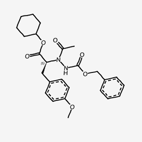 COc1ccc(C[C@@H](C(=O)OC2CCCCC2)N(NC(=O)OCc2ccccc2)C(C)=O)cc1